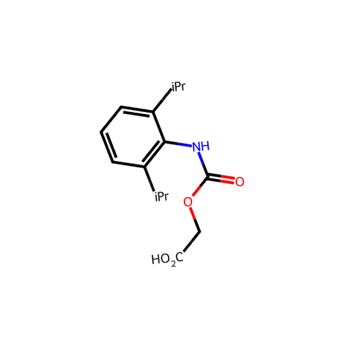 CC(C)c1cccc(C(C)C)c1NC(=O)OCC(=O)O